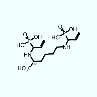 C=CC(NCCCC[C@H](NC(C=C)P(=O)(O)O)C(=O)O)P(=O)(O)O